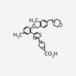 Cc1ccc(OCc2ccc(CN3CCOCC3)cc2C)c(-c2csc(N3CC4C(C3)C4C(=O)O)n2)c1